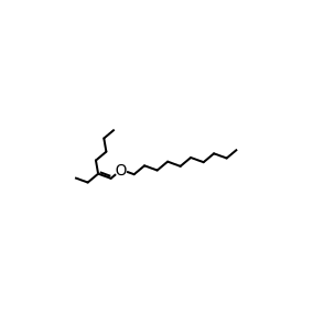 CCCCCCCCCCO/C=C(/CC)CCCC